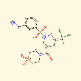 NCc1cccc(S(=O)(=O)N2C[C@@H](C(=O)N3CCS(=O)(=O)CC3)C[C@@H](C(F)(F)F)C2)c1